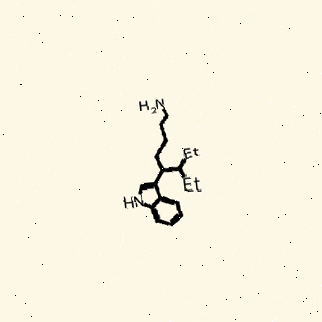 CCC(CC)[C](CCCCN)c1c[nH]c2ccccc12